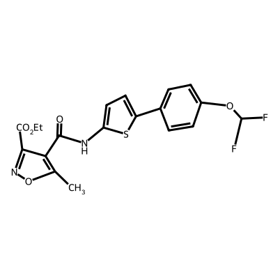 CCOC(=O)c1noc(C)c1C(=O)Nc1ccc(-c2ccc(OC(F)F)cc2)s1